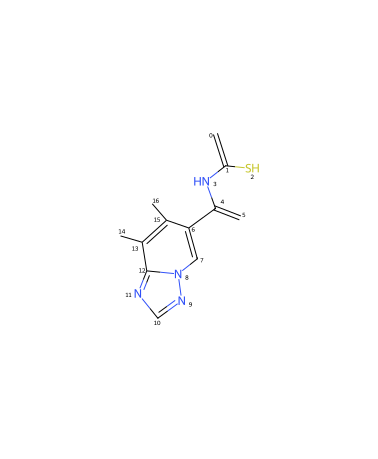 C=C(S)NC(=C)c1cn2ncnc2c(C)c1C